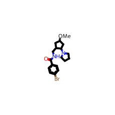 COC1CC(CNC(=O)c2ccc(Br)cc2)C(N2CCCC2)C1